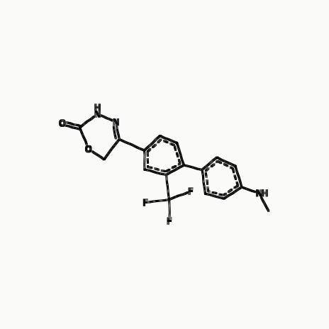 CNc1ccc(-c2ccc(C3=NNC(=O)OC3)cc2C(F)(F)F)cc1